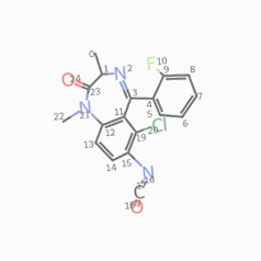 CC1N=C(c2ccccc2F)c2c(ccc(N=C=O)c2Cl)N(C)C1=O